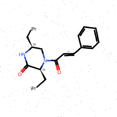 CC(C)C[C@H]1CN(C(=O)/C=C/c2ccccc2)[C@@H](CC(C)C)C(=O)N1